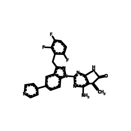 C=C1C(=O)Nc2nc(-n3nc(Cc4c(F)ccc(F)c4F)c4cc(-c5ccncc5)ccc43)nc(N)c21